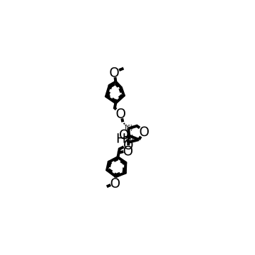 COc1ccc(COC[C@@]23COC(C(OC)O2)[C@H]3OCc2ccc(OC)cc2)cc1